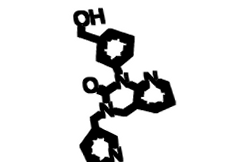 O=C1N(Cc2cccnc2)Cc2cccnc2N1c1cccc(CO)c1